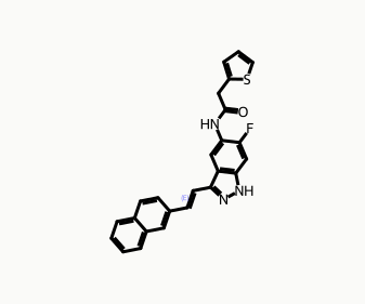 O=C(Cc1cccs1)Nc1cc2c(/C=C/c3ccc4ccccc4c3)n[nH]c2cc1F